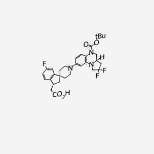 CC(C)(C)OC(=O)N1C[C@@H]2CC(F)(F)CN2c2cc(N3CCC4(CC3)C[C@@H](CC(=O)O)c3ccc(F)cc34)ccc21